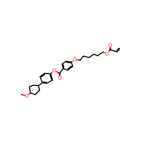 C=CC(=O)OCCCCCCOc1ccc(C(=O)Oc2ccc(C3CCC(OC)CC3)cc2)cc1